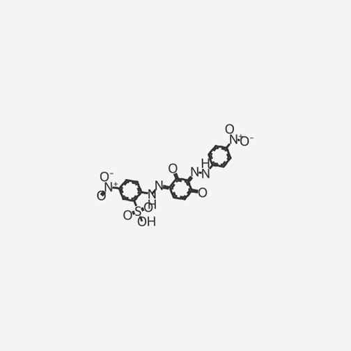 O=c1cc/c(=N\Nc2ccc([N+](=O)[O-])cc2S(=O)(=O)O)c(=O)/c1=N/Nc1ccc([N+](=O)[O-])cc1